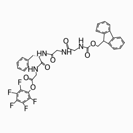 O=C(CNC(=O)OCC1c2ccccc2-c2ccccc21)NCC(=O)N[C@@H](Cc1ccccc1)C(=O)NCC(=O)Oc1c(F)c(F)c(F)c(F)c1F